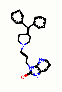 O=c1[nH]c2cccnc2n1CC=CN1CCC(=C(c2ccccc2)c2ccccc2)CC1